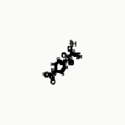 [2H]OC(=S)S(=O)(=O)c1ccc([N+](=O)[O-])cc1